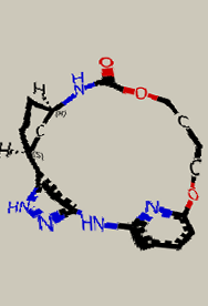 O=C1N[C@@H]2CC[C@@H](C2)c2cc(n[nH]2)Nc2cccc(n2)OCCCCO1